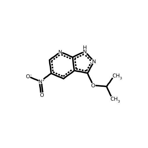 CC(C)Oc1n[nH]c2ncc([N+](=O)[O-])cc12